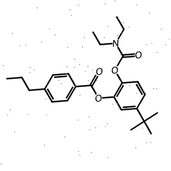 CCCc1ccc(C(=O)Oc2cc(C(C)(C)C)ccc2OC(=O)N(CC)CC)cc1